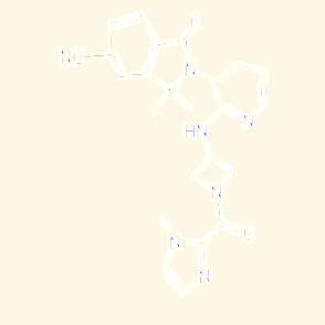 Cn1ccnc1C(=O)N1CC(Nc2ncccc2N2C(=O)c3ccc(C#N)cc3C2(C)C)C1